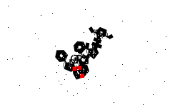 CC[C@@H]1CC[C@@H](CC)P1C(C)(C)C(C)(C)P1CCC(C2C[C@@H](c3ccccc3)P(OP3[C@H](c4ccccc4)CC[C@H]3c3ccccc3)[C@@H]2c2ccccc2)[C@H]1CC